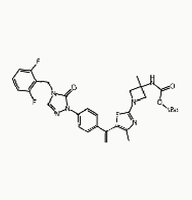 C=C(c1ccc(-n2ncn(Cc3c(F)cccc3F)c2=O)cc1)c1sc(N2CC(C)(NC(=O)OC(C)(C)C)C2)nc1C